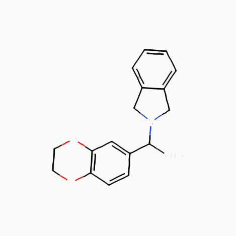 O=CC(c1ccc2c(c1)OCCO2)N1Cc2ccccc2C1